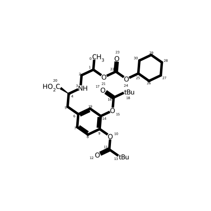 CC(CN[C@@H](Cc1ccc(OC(=O)C(C)(C)C)c(OC(=O)C(C)(C)C)c1)C(=O)O)OC(=O)OC1CCCCC1